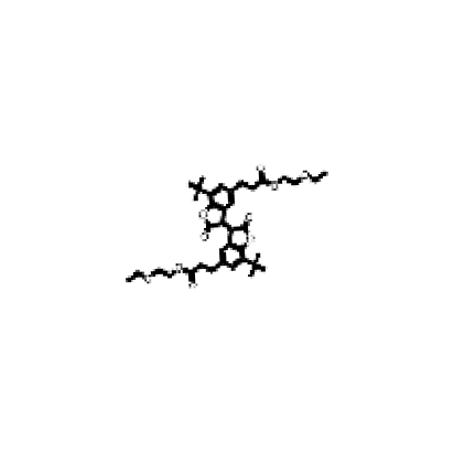 CCOCCOC(=O)CCc1cc2c(c(C(C)(C)C)c1)OC(=O)C2=C1C(=O)Oc2c1cc(CCC(=O)OCCOCC)cc2C(C)(C)C